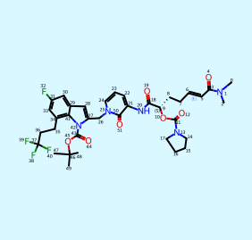 CN(C)C(=O)/C=C/CC[C@H](OC(=O)N1CCCC1)C(=O)Nc1cccn(Cc2cc3cc(F)cc(CCC(F)(F)F)c3n2C(=O)OC(C)(C)C)c1=O